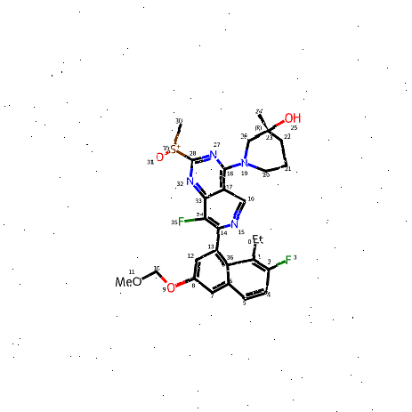 CCc1c(F)ccc2cc(OCOC)cc(-c3ncc4c(N5CCC[C@@](C)(O)C5)nc([S+](C)[O-])nc4c3F)c12